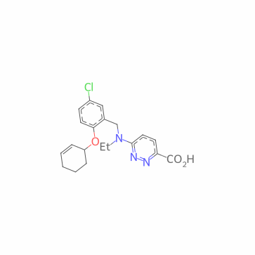 CCN(Cc1cc(Cl)ccc1OC1C=CCCC1)c1ccc(C(=O)O)nn1